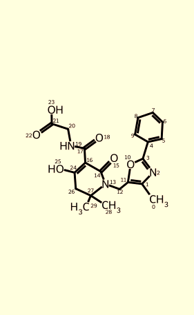 Cc1nc(-c2ccccc2)oc1CN1C(=O)C(C(=O)NCC(=O)O)=C(O)CC1(C)C